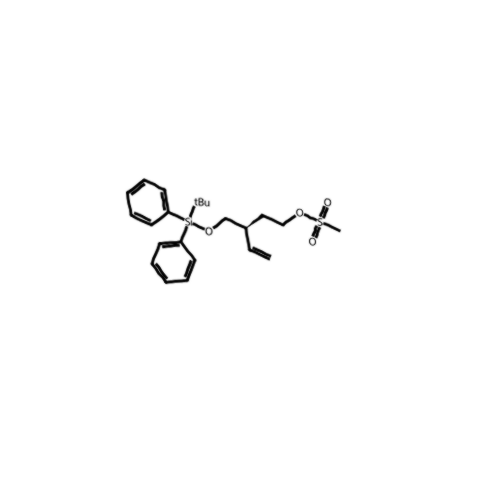 C=C[C@H](CCOS(C)(=O)=O)CO[Si](c1ccccc1)(c1ccccc1)C(C)(C)C